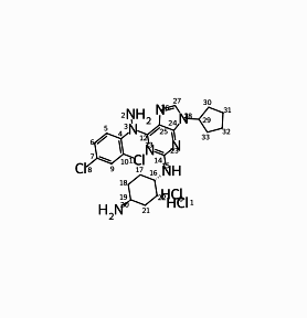 Cl.Cl.NN(c1ccc(Cl)cc1Cl)c1nc(N[C@H]2CC[C@H](N)CC2)nc2c1ncn2C1CCCC1